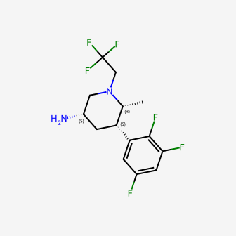 C[C@@H]1[C@H](c2cc(F)cc(F)c2F)C[C@H](N)CN1CC(F)(F)F